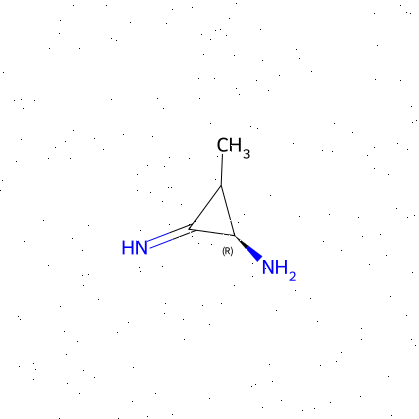 CC1C(=N)[C@@H]1N